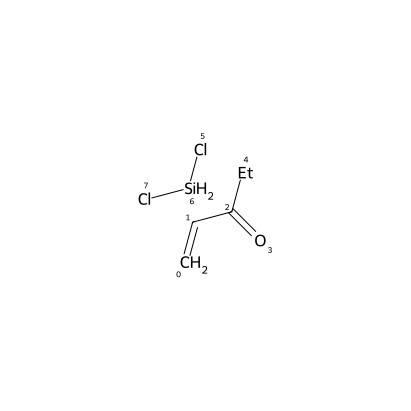 C=CC(=O)CC.Cl[SiH2]Cl